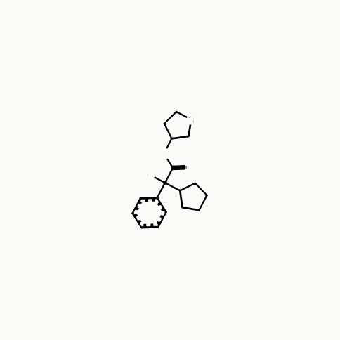 CC(C(=O)OC1CCNC1)(c1ccccc1)C1CCCC1